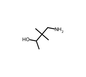 CC(O)C(C)(C)CN